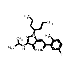 CCCC(CCC)N1N=C(NC(C)C)C(=N)/C1=C\C(=N)c1cc(F)ccc1N